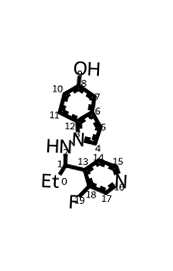 CCC(Nn1ccc2cc(O)ccc21)c1ccncc1F